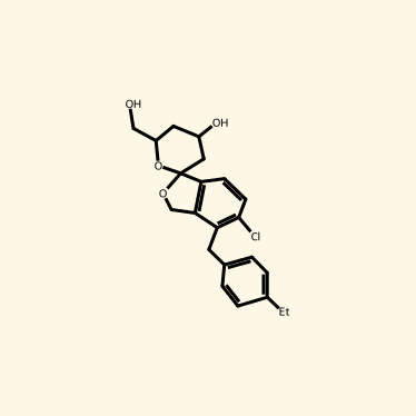 CCc1ccc(Cc2c(Cl)ccc3c2COC32CC(O)CC(CO)O2)cc1